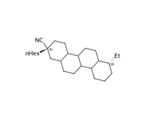 CCCCCC[C@@]1(C#N)CCC2C(CCC3C2CCC2C3CCC[C@H]2CC)C1